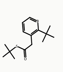 CC(C)(C)SC(=O)Cc1cccbc1C(C)(C)C